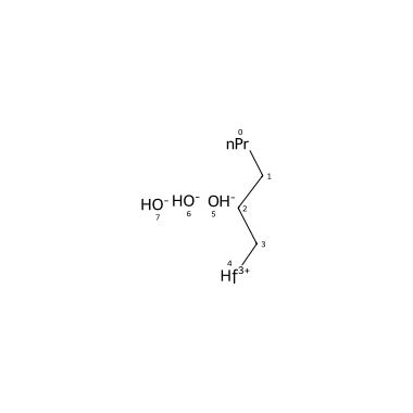 CCCCC[CH2][Hf+3].[OH-].[OH-].[OH-]